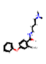 COc1cc(Oc2ccccc2)ccc1C(=O)NCCCCN(C)C